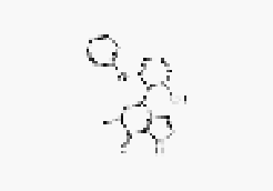 Cn1cc(-c2c(O)cccc2Oc2ccccc2)c2cc[nH]c2c1=O